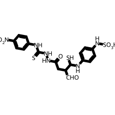 O=CC(CC(=O)NNC(=S)Nc1ccc([N+](=O)[O-])cc1)C(S)Nc1ccc(NS(=O)(=O)O)cc1